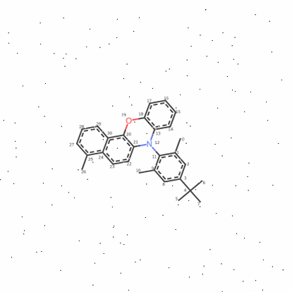 Cc1cc(C(C)(C)C)cc(C)c1N1c2ccccc2Oc2c1ccc1c(C)cccc21